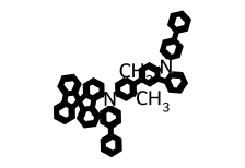 Cc1cc(N(c2ccc(-c3ccccc3)cc2)c2cccc3c2-c2ccccc2C32c3ccccc3-c3ccccc32)cc(C)c1-c1ccc2c(c1)c1ccccc1n2-c1ccc(-c2ccccc2)cc1